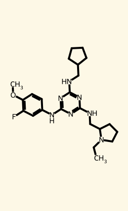 CCN1CCCC1CNc1nc(NCC2CCCC2)nc(Nc2ccc(OC)c(F)c2)n1